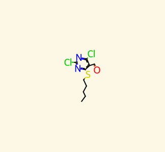 CCCCCSc1nc(Cl)nc(Cl)c1C=O